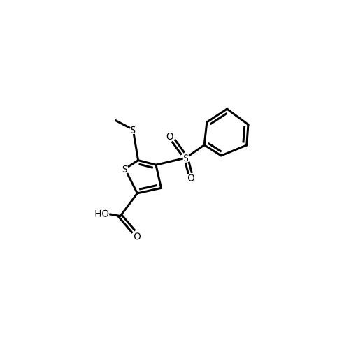 CSc1sc(C(=O)O)cc1S(=O)(=O)c1ccccc1